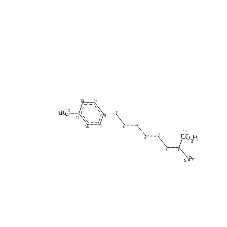 CC(C)C(CCCCCCc1ccc(C(C)(C)C)cc1)C(=O)O